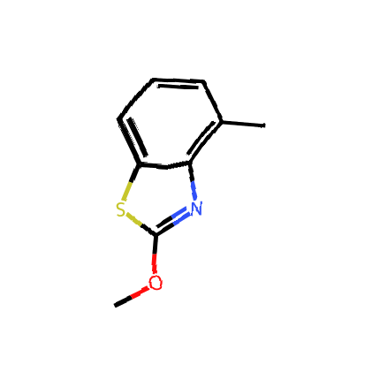 COc1nc2c(C)cccc2s1